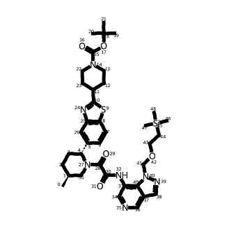 C[C@H]1CC[C@H](c2ccc3sc(C4CCN(C(=O)OC(C)(C)C)CC4)nc3c2)N(C(=O)C(=O)Nc2cncc3cnn(COCC[Si](C)(C)C)c23)C1